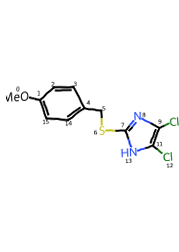 COc1ccc(CSc2nc(Cl)c(Cl)[nH]2)cc1